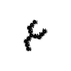 c1cncc(-c2ccc(-c3cccc(-c4ccc(-c5cc(-c6ccc(-c7cccc(-c8ccc(-c9cccnc9)cn8)n7)nc6)cc(-c6ccc(-c7cccc(-c8ccc(-c9cccnc9)cn8)n7)nc6)c5)cn4)n3)nc2)c1